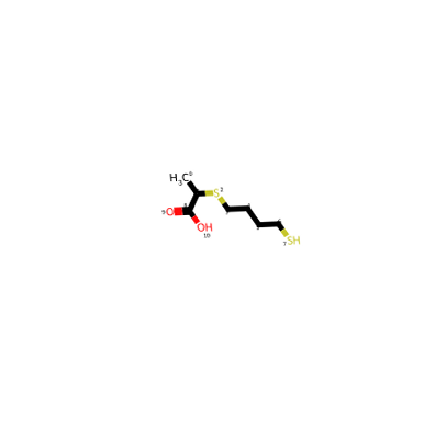 CC(SCCCCS)C(=O)O